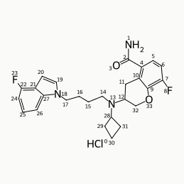 Cl.NC(=O)c1ccc(F)c2c1CC(N(CCCCn1ccc3c(F)cccc31)C1CCC1)CO2